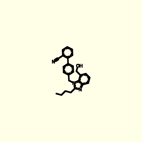 CCCCc1nc2cccc(CO)c2n1Cc1ccc(-c2ccccc2C#N)cc1